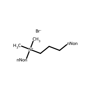 CCCCCCCCCCCC[N+](C)(C)CCCCCCCCC.[Br-]